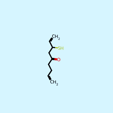 C=CCCC(=O)CC(S)C=C